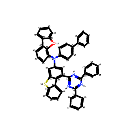 c1ccc(-c2ccc(N(c3cc(-c4nc(-c5ccccc5)nc(-c5ccccc5)n4)c4c(c3)sc3ccccc34)c3cccc4c3oc3ccccc34)cc2)cc1